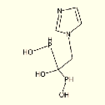 OPC(O)(Cn1ccnc1)PO